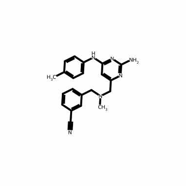 Cc1ccc(Nc2cc(CN(C)Cc3cccc(C#N)c3)nc(N)n2)cc1